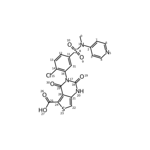 CN(c1ccncc1)S(=O)(=O)c1ccc(Cl)c(-n2c(=O)[nH]c3csc(C(=O)O)c3c2=O)c1